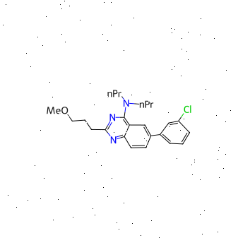 CCCN(CCC)c1nc(CCCOC)nc2ccc(-c3cccc(Cl)c3)cc12